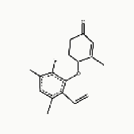 C=Cc1c(C)cc(C)c(Cl)c1OC1CCC(=O)C=C1C